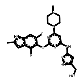 Cc1cc2c(F)c(Oc3nc(Nc4cc(CO)[nH]n4)cc(N4CCN(C)CC4)n3)c(F)cc2[nH]1